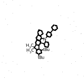 CC(C)(C)c1cc(C(C)(C)C)c2c(c1)C(C)(C)c1cccc(-c3ccccc3N(c3ccc(-c4ccccc4)cc3)c3cccc4ccccc34)c1-2